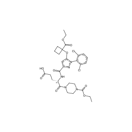 CCOC(=O)N1CCN(C(=O)[C@H](CCC(=O)O)NC(=O)c2cc(OC3(C(=O)OCC)CCC3)n(-c3c(Cl)cccc3Cl)n2)CC1